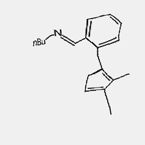 CCCCN=Cc1ccccc1C1=C(C)C(C)=CC1